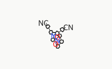 N#Cc1ccc(-c2ccc3c(c2)c2cc(-c4ccc(C#N)cc4)ccc2n3-c2cccc3c2C(=O)N(c2c(-c4ccccc4)cccc2-c2ccccc2)C3=O)cc1